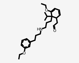 CCOC1=CC=CC(CC=O)C1(CCCNCCCc1cccc(OCC)c1)C(C)C